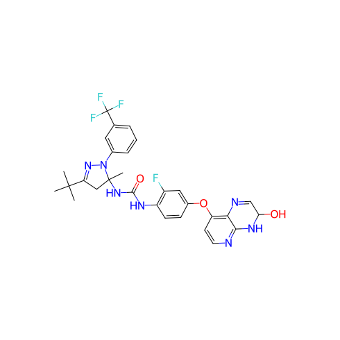 CC(C)(C)C1=NN(c2cccc(C(F)(F)F)c2)C(C)(NC(=O)Nc2ccc(Oc3ccnc4c3N=CC(O)N4)cc2F)C1